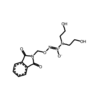 O=C1c2ccccc2C(=O)N1CO/N=[N+](\[O-])N(CCO)CCO